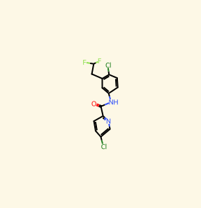 O=C(Nc1ccc(Cl)c(CC(F)F)c1)c1ccc(Cl)cn1